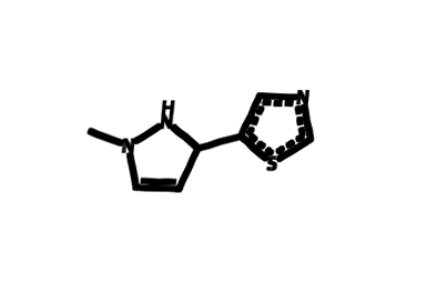 CN1C=CC(c2cncs2)N1